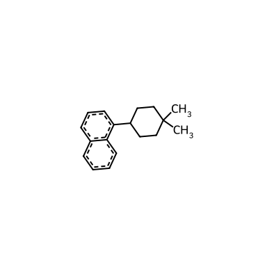 CC1(C)CCC(c2cccc3ccccc23)CC1